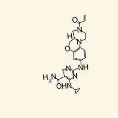 C=CC(=O)N1CCN2c3ccc(Nc4ncc(C(N)=O)c(NC5CC5)n4)cc3OC[C@H]2C1